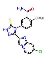 COc1ccc(-n2c(-c3cn4ccc(Cl)cc4n3)n[nH]c2=S)cc1C(N)=O